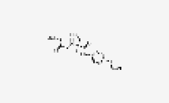 CCCCCCCCOc1ccc(NC(=O)C(C)(CO)NNC(=O)OC(C)(C)C)cc1